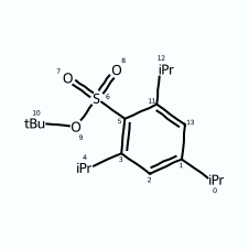 CC(C)c1cc(C(C)C)c(S(=O)(=O)OC(C)(C)C)c(C(C)C)c1